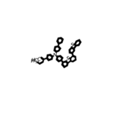 C#C/C=C\C(=C/C)c1ccc(N(c2ccc(-c3ccccc3)cc2)c2ccc(-c3cccc4c3SC3C(c5ccc6sc7ccccc7c6c5)=CC=CC43)cc2)cc1